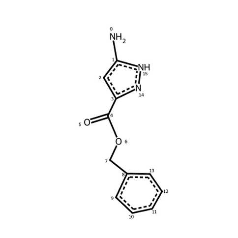 Nc1cc(C(=O)OCc2ccccc2)n[nH]1